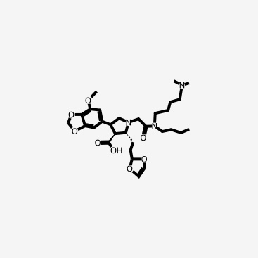 CCCCN(CCCCN(C)C)C(=O)CN1CC(c2cc(OC)c3c(c2)OCO3)[C@H](C(=O)O)[C@H]1CCC1OC=CO1